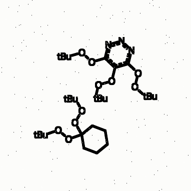 CC(C)(C)OOC1(OOC(C)(C)C)CCCCC1.CC(C)(C)OOc1nnnc(OOC(C)(C)C)c1OOC(C)(C)C